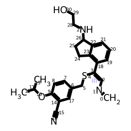 C=N/C=C(\SCc1ccc(OC(C)C)c(C#N)c1)c1cccc2c1CCC2NCCO